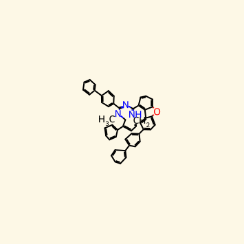 C=C/C=C(\CN(C)/C(=N\C(=N)c1cccc2oc3ccc(-c4ccc(-c5ccccc5)cc4)cc3c12)c1ccc(-c2ccccc2)cc1)c1ccccc1